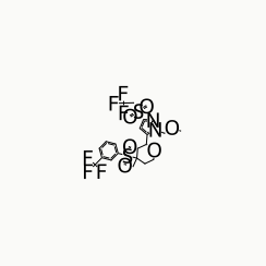 COCn1nc(S(=O)(=O)CC(F)(F)F)cc1C1CC(C)(S(=O)(=O)c2cccc(C(F)(F)F)c2)CCO1